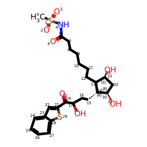 CS(=O)(=O)NC(=O)CCCCCCC1[C@@H](CCC(O)C(=O)c2cc3ccccc3s2)[C@H](O)C[C@@H]1O